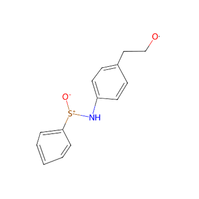 [O]CCc1ccc(N[S+]([O-])c2ccccc2)cc1